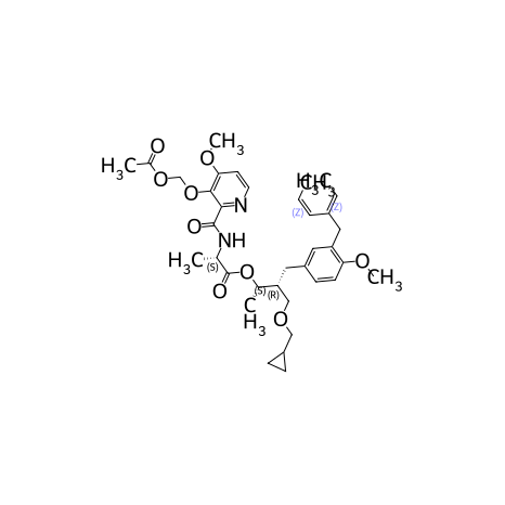 C/C=C\C(=C/C)Cc1cc(C[C@H](COCC2CC2)[C@H](C)OC(=O)[C@H](C)NC(=O)c2nccc(OC)c2OCOC(C)=O)ccc1OC